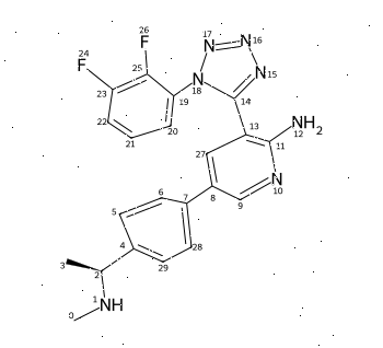 CN[C@@H](C)c1ccc(-c2cnc(N)c(-c3nnnn3-c3cccc(F)c3F)c2)cc1